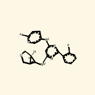 Fc1ccc(Nc2cc(NC3=C4COC[C@H]43)nc(-c3ccccc3F)n2)cn1